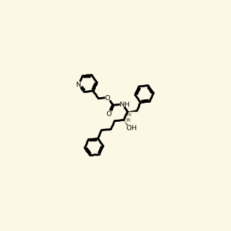 O=C(N[C@@H](Cc1ccccc1)[C@H](O)CCCc1ccccc1)OCc1cccnc1